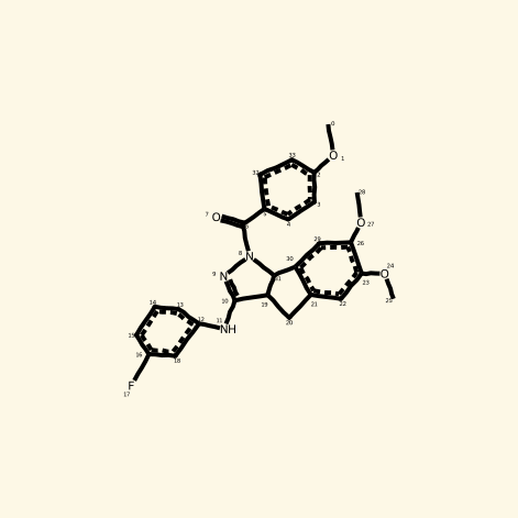 COc1ccc(C(=O)N2N=C(Nc3cccc(F)c3)C3Cc4cc(OC)c(OC)cc4C32)cc1